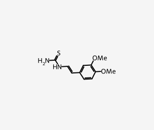 COc1ccc(C=CNC(N)=S)cc1OC